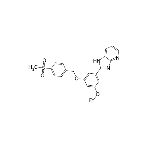 CCOc1cc(OCc2ccc(S(C)(=O)=O)cc2)cc(-c2nc3ncccc3[nH]2)c1